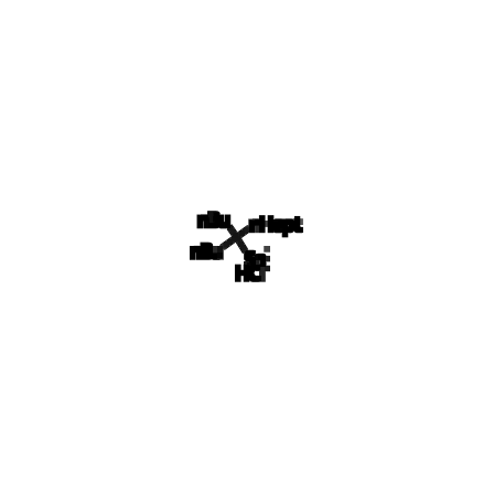 CCCCCCC[C]([Sn])(CCCC)CCCC.Cl